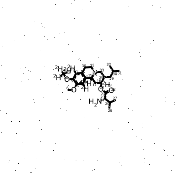 [2H]c1c2c(c([2H])c(OC)c1OC([2H])([2H])[2H])C1([2H])CC([2H])(OC(=O)[C@@H](N)C(C)C)C(CC(C)C)CN1CC2